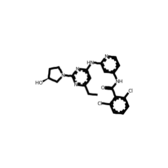 CCc1cc(Nc2cc(NC(=O)c3c(Cl)cccc3Cl)ccn2)nc(N2CC[C@H](O)C2)n1